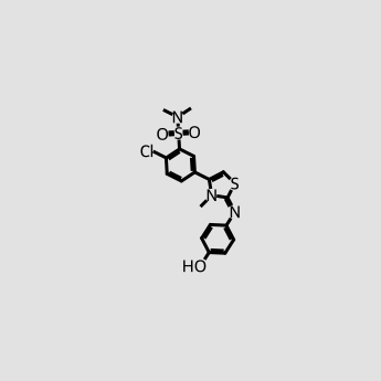 CN(C)S(=O)(=O)c1cc(-c2csc(=Nc3ccc(O)cc3)n2C)ccc1Cl